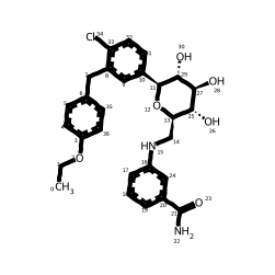 CCOc1ccc(Cc2cc([C@@H]3O[C@H](CNc4cccc(C(N)=O)c4)[C@@H](O)[C@H](O)[C@H]3O)ccc2Cl)cc1